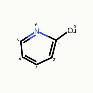 [Cu][c]1ccccn1